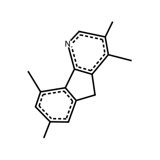 Cc1cc(C)c2c(c1)Cc1c-2ncc(C)c1C